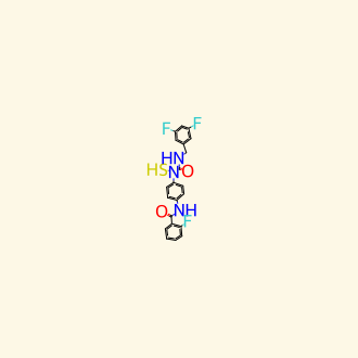 O=C(Nc1ccc(N(S)C(=O)NCc2cc(F)cc(F)c2)cc1)c1ccccc1F